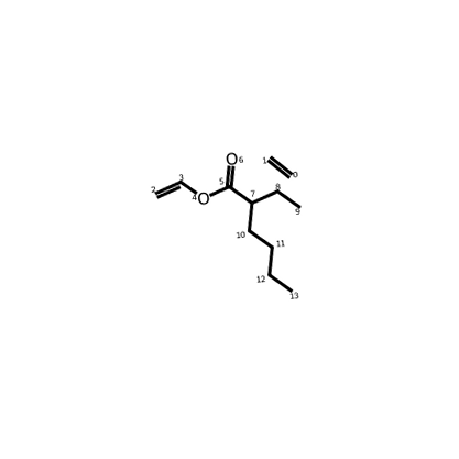 C=C.C=COC(=O)C(CC)CCCC